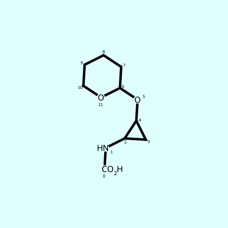 O=C(O)NC1CC1OC1CCCCO1